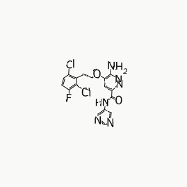 Nc1nnc(C(=O)Nc2cncnc2)cc1OCCc1c(Cl)ccc(F)c1Cl